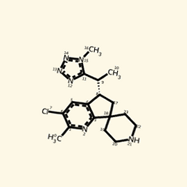 Cc1nc2c(cc1Cl)[C@H](C(C)c1nnnn1C)CC21CCNCC1